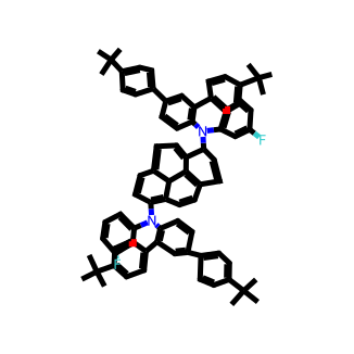 CC(C)(C)c1ccc(-c2ccc(N(C3=C4C=CC5=C6C(=CC=C(C=C3)C46)C(N(c3cccc(F)c3)c3ccc(-c4ccc(C(C)(C)C)cc4)cc3-c3ccc(C(C)(C)C)cc3)C=C5)c3cccc(F)c3)c(-c3ccc(C(C)(C)C)cc3)c2)cc1